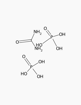 NC(N)=O.O=P(O)(O)O.O=P(O)(O)O